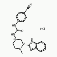 CN1CC[C@@H](NC(=O)Nc2ccc(C#N)cc2)C[C@@H]1c1nc2ccccc2[nH]1.Cl